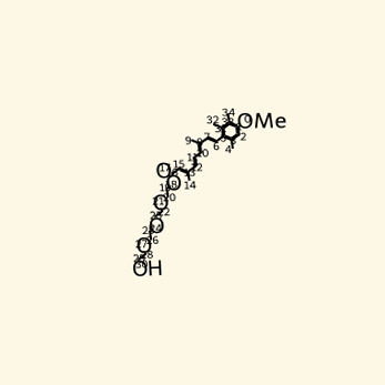 COc1cc(C)c(C=CC(C)=CC=CC(C)=CC(=O)OCCOCCOCCOCCO)c(C)c1C